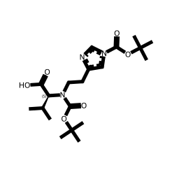 CC(C)[C@@H](C(=O)O)N(CCc1cn(C(=O)OC(C)(C)C)cn1)C(=O)OC(C)(C)C